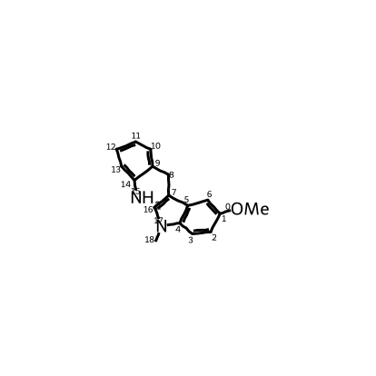 COc1ccc2c(c1)c(Cc1ccccc1N)cn2C